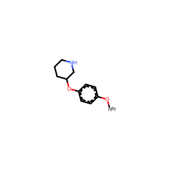 CCCOc1ccc(OC2[CH]NCCC2)cc1